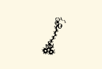 CCOC(=O)CCCCCCCCSc1ncc(-c2ccccc2)c(-c2ccccc2)n1